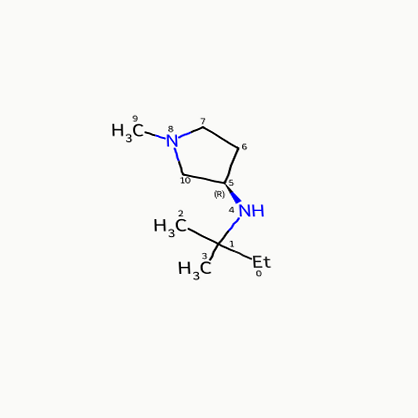 CCC(C)(C)N[C@@H]1CCN(C)C1